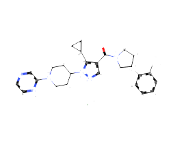 Cl.O=C(c1cnn(C2CCN(c3cnccn3)CC2)c1C1CC1)N1CC[C@@H](c2ccccc2C(F)(F)F)C1